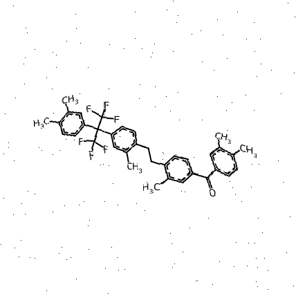 Cc1ccc(C(=O)c2ccc(CCc3ccc(C(c4ccc(C)c(C)c4)(C(F)(F)F)C(F)(F)F)cc3C)c(C)c2)cc1C